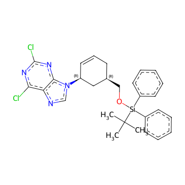 CC(C)(C)[Si](OC[C@@H]1CC=C[C@H](n2cnc3c(Cl)nc(Cl)nc32)C1)(c1ccccc1)c1ccccc1